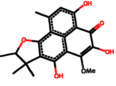 COC1=C(O)C(=O)c2c(O)cc(C)c3c4c(c(O)c1c23)C(C)(C)C(C)O4